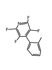 Cc1ccccc1-c1c(F)c(F)nc(F)c1F